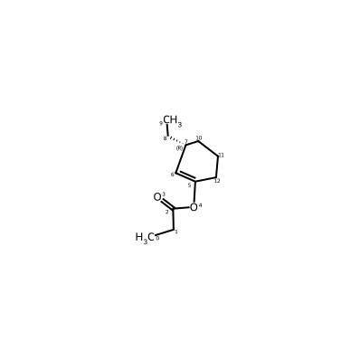 CCC(=O)OC1=C[C@H](CC)CCC1